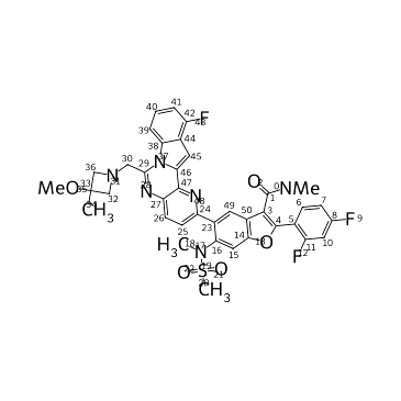 CNC(=O)c1c(-c2ccc(F)cc2F)oc2cc(N(C)S(C)(=O)=O)c(-c3ccc4nc(CN5CC(C)(OC)C5)n5c6cccc(F)c6cc5c4n3)cc12